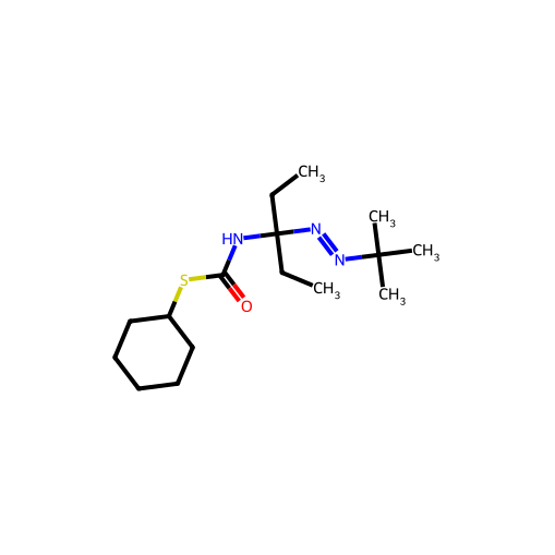 CCC(CC)(N=NC(C)(C)C)NC(=O)SC1CCCCC1